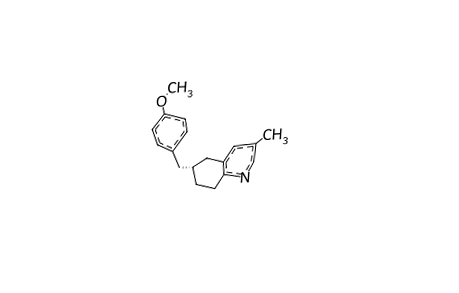 COc1ccc(C[C@H]2CCc3ncc(C)cc3C2)cc1